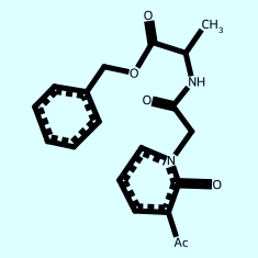 CC(=O)c1cccn(CC(=O)NC(C)C(=O)OCc2ccccc2)c1=O